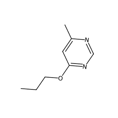 CCCOc1cc(C)ncn1